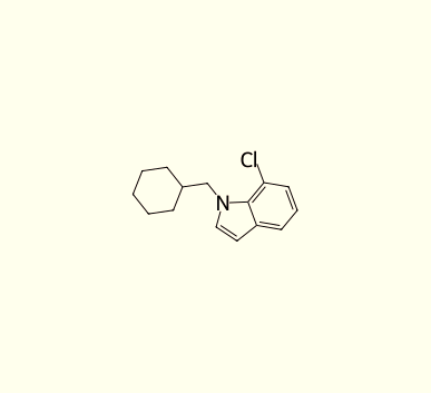 Clc1cccc2ccn(CC3CCCCC3)c12